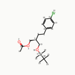 CC(=O)OC[C@@H](CCc1ccc(Br)cc1)CO[Si](C)(C)C(C)(C)C